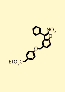 CCOC(=O)Cc1ccc(OCc2ccc3oc([N+](=O)[O-])c(-c4ccccc4)c3c2)cc1